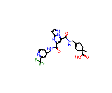 CC1(C(=O)O)CC=C(CNC(=O)c2cc(C(=O)NCc3ccnc(C(F)(F)F)c3)nc3ccnn23)CC1